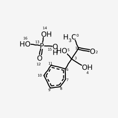 CC(=O)C(O)(O)c1ccccc1.O=P(O)(O)O